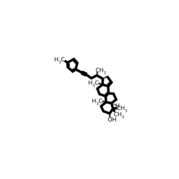 Cc1ccc(C#CC[C@@H](C)[C@H]2CC=C3C4=C(CC[C@@]32C)[C@@]2(C)CC[C@H](O)C(C)(C)[C@@H]2CC4)cc1